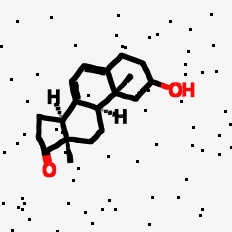 C[C@]12CC(O)CCC1=CC=C1[C@@H]2CC[C@]2(C)C(=O)CC[C@@H]12